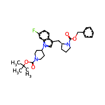 CC(C)(C)OC(=O)N1CCC(n2cc(C[C@@H]3CCCN3C(=O)OCc3ccccc3)c3ccc(F)cc32)CC1